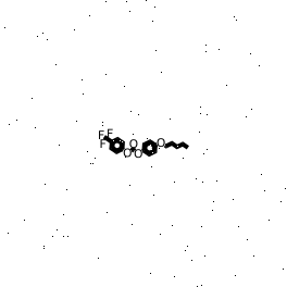 CCCCCOc1ccc(OC(=O)Oc2ccc(C(F)(F)F)cc2)cc1